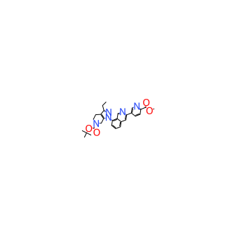 CCc1nn(-c2cccc3cc(-c4ccc(C(=O)OC)nc4)ncc23)c2c1CCN(C(=O)OC(C)(C)C)C2